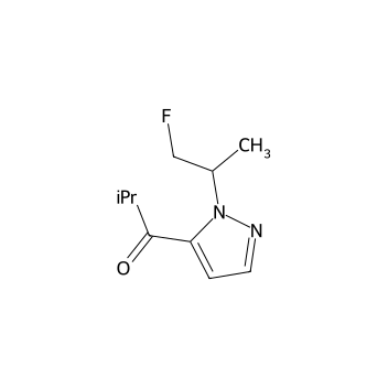 CC(C)C(=O)c1ccnn1C(C)CF